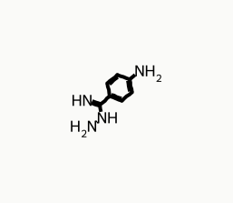 N=C(NN)c1ccc(N)cc1